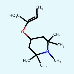 CC=C(OC1CC(C)(C)N(C)C(C)(C)C1)C(=O)O